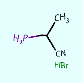 Br.CC(P)C#N